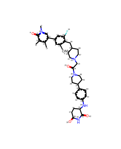 COc1cc(-c2cn(C)c(=O)c(C)c2C)cc(F)c1CC1CCN(CC(=O)N2CCC(c3ccc(NC4CCC(=O)NC4=O)cc3)CC2)CC1